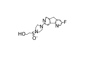 [O-][S+](CCO)N1CCN(c2cc3c(cn2)Cc2cc(F)cnc2-3)CC1